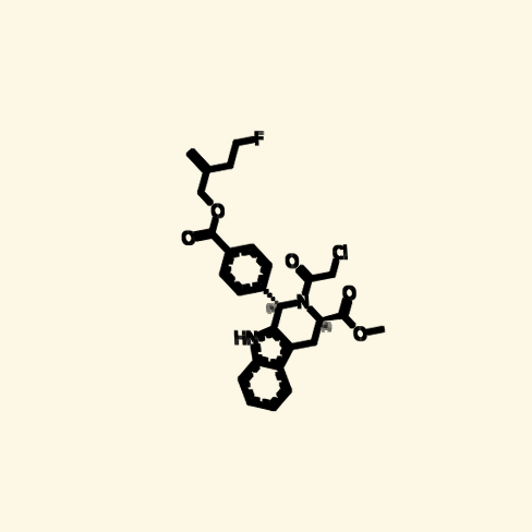 C=C(CCF)COC(=O)c1ccc([C@H]2c3[nH]c4ccccc4c3C[C@H](C(=O)OC)N2C(=O)CCl)cc1